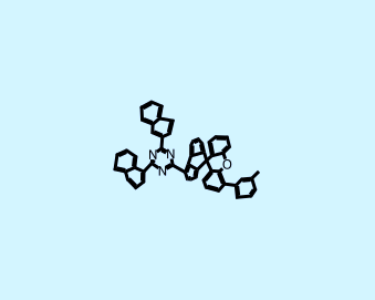 Cc1cccc(-c2cccc3c2Oc2ccccc2C32c3ccccc3-c3c(-c4nc(-c5ccc6ccccc6c5)nc(-c5cccc6ccccc56)n4)cccc32)c1